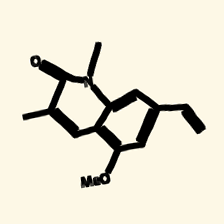 C=Cc1cc(OC)c2cc(C)c(=O)n(C)c2c1